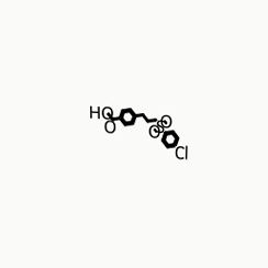 O=C(O)c1ccc(CCCS(=O)(=O)c2ccc(Cl)cc2)cc1